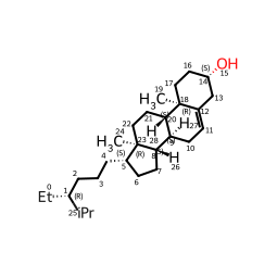 CC[C@H](CCC[C@H]1CC[C@H]2[C@@H]3CC=C4C[C@@H](O)CC[C@]4(C)[C@H]3CC[C@]12C)C(C)C